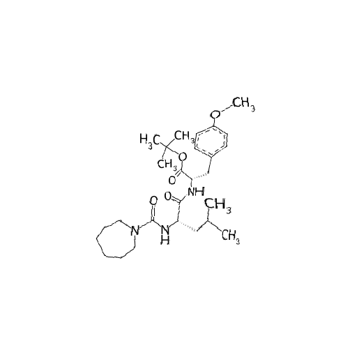 COc1ccc(C[C@H](NC(=O)[C@H](CC(C)C)NC(=O)N2CCCCCC2)C(=O)OC(C)(C)C)cc1